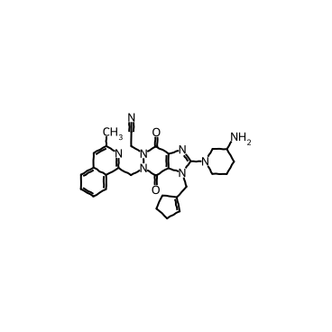 Cc1cc2ccccc2c(Cn2c(=O)c3c(nc(N4CCCC(N)C4)n3CC3=CCCC3)c(=O)n2CC#N)n1